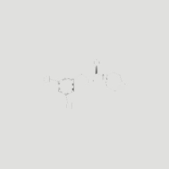 O=C(OCc1cc(Cl)cc(Cl)c1)N1CCOCC1